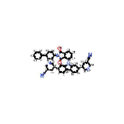 N#Cc1cncc(-c2ccc3c4ccc(-c5cncc(C#N)c5)cc4n(-c4cccc5c4C(=O)N(c4ccc(-c6ccccc6)cc4)C5=O)c3c2)c1